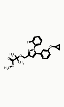 COC(=O)C(C)(C)OCc1cc(-c2cccc(OC3CC3)c2)n(-c2ccccc2F)n1